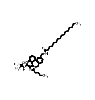 CCCCCCCCCCCCCCCC(=O)NCc1ccc(Cn2c(CCCC)nc3c(NC(C)(C)C)nc4ccccc4c32)cc1